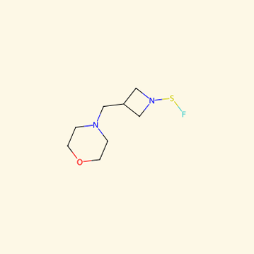 FSN1CC(CN2CCOCC2)C1